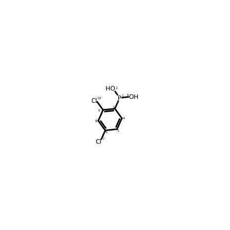 OP(O)c1ccc(Cl)cc1Cl